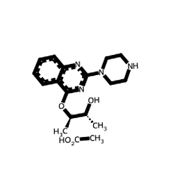 CC(=O)O.C[C@@H](O)[C@@H](C)Oc1nc(N2CCNCC2)nc2ccccc12